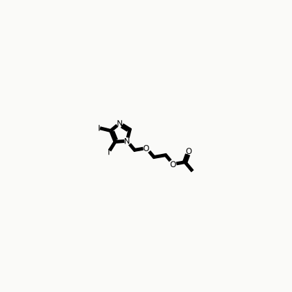 CC(=O)OCCOCn1cnc(I)c1I